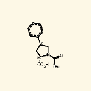 CC(C)(C)C(=O)N1C[C@H](c2ccccc2)C[C@H]1C(=O)O